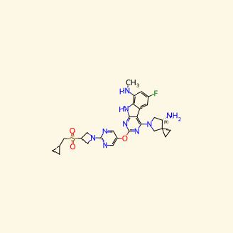 CNc1cc(F)cc2c1[nH]c1nc(Oc3cnc(N4CC(S(=O)(=O)CC5CC5)C4)nc3)nc(N3C[C@H](N)C4(CC4)C3)c12